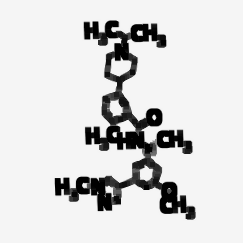 COc1cc(-c2cnn(C)c2)cc([C@@H](C)NC(=O)c2cc(C3CCN(C(C)C)CC3)ccc2C)c1